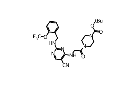 CC(C)(C)OC(=O)N1CCN(C(=O)CNc2nc(NCc3ccccc3OC(F)(F)F)ncc2C#N)CC1